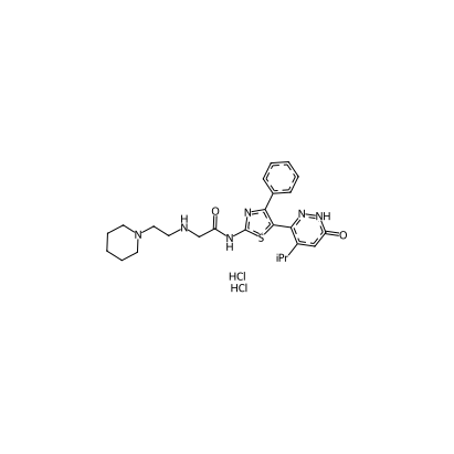 CC(C)c1cc(=O)[nH]nc1-c1sc(NC(=O)CNCCN2CCCCC2)nc1-c1ccccc1.Cl.Cl